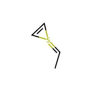 CC=S1C=C1